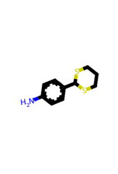 Nc1ccc(C2SCCCS2)cc1